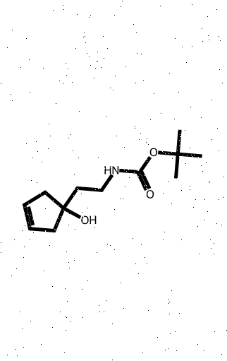 CC(C)(C)OC(=O)NCCC1(O)CC=CC1